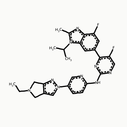 CCN1Cc2cn(-c3ccc(Nc4ncc(F)c(-c5cc(F)c6nc(C)n(C(C)C)c6c5)n4)nc3)nc2C1